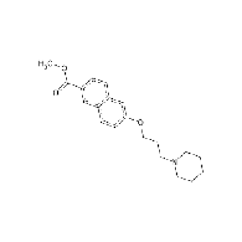 COC(=O)c1ccc2cc(OCCCN3CCCCC3)ccc2c1